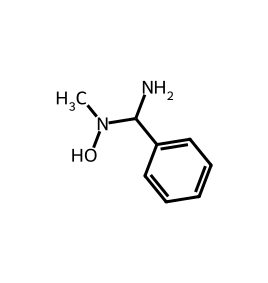 CN(O)C(N)c1ccccc1